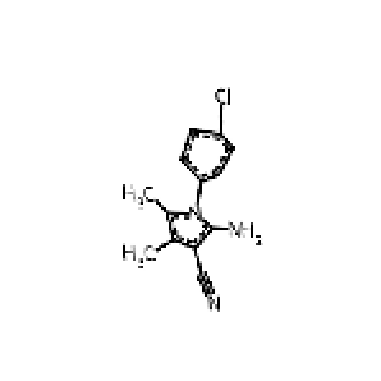 Cc1c(C#N)c(N)n(-c2ccc(Cl)cc2)c1C